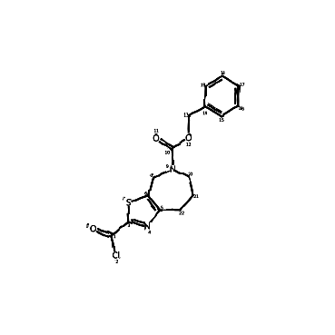 O=C(Cl)c1nc2c(s1)CN(C(=O)OCc1ccccc1)CCC2